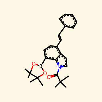 CC(C)(C)C(=O)n1ccc2c(C=Cc3ccccc3)ccc(B3OC(C)(C)C(C)(C)O3)c21